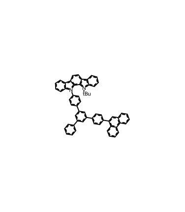 CC(C)(C)n1c2ccccc2c2ccc3c4ccccc4n(-c4ccc(-c5cc(-c6ccccc6)cc(-c6ccc(-c7cc8ccccc8c8ccccc78)cc6)c5)cc4)c3c21